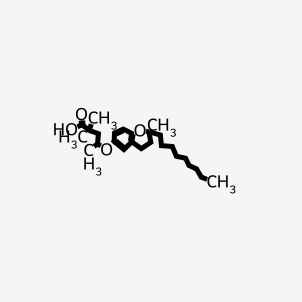 CCCCCCCCCC1(C)CCc2cc(OC(C)CC(C)(C)C(=O)O)ccc2O1